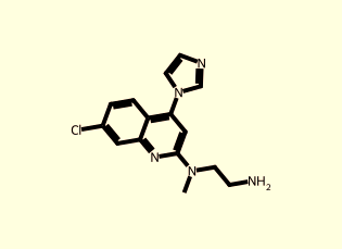 CN(CCN)c1cc(-n2ccnc2)c2ccc(Cl)cc2n1